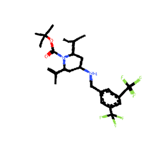 CC(C)C1CC(NCc2cc(C(F)(F)F)cc(C(F)(F)F)c2)CC(C(C)C)N1C(=O)OC(C)(C)C